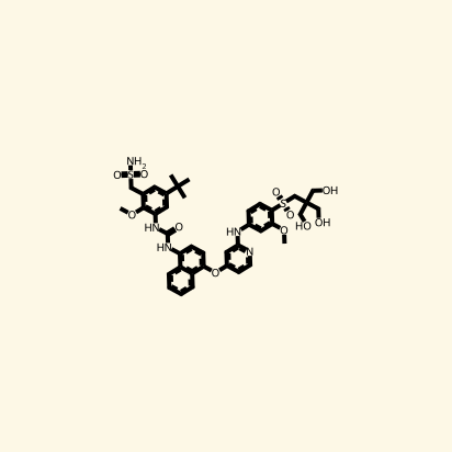 COc1cc(Nc2cc(Oc3ccc(NC(=O)Nc4cc(C(C)(C)C)cc(CS(N)(=O)=O)c4OC)c4ccccc34)ccn2)ccc1S(=O)(=O)CC(CO)(CO)CO